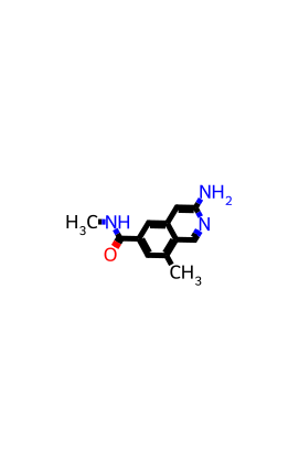 CNC(=O)c1cc(C)c2cnc(N)cc2c1